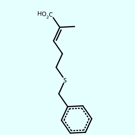 CC(=CCCSCc1ccccc1)C(=O)O